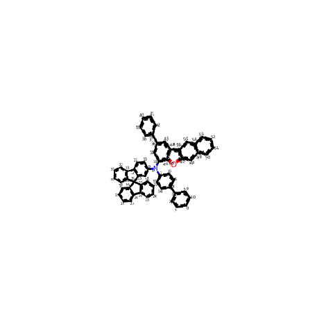 c1ccc(-c2ccc(N(c3ccc4c(c3)C3(c5ccccc5-c5ccccc53)c3ccccc3-4)c3cc(-c4ccccc4)cc4c3oc3cc5ccccc5cc34)cc2)cc1